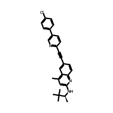 Cc1cc(N[C@@H](C)C(C)(C)C)nc2ccc(C#Cc3ccc(-c4ccc(Cl)cc4)cn3)cc12